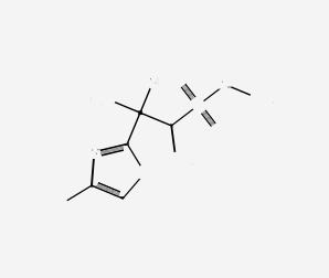 CNS(=O)(=O)C(C)C(C)(N)c1nc(Br)cs1